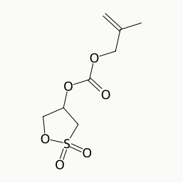 C=C(C)COC(=O)OC1COS(=O)(=O)C1